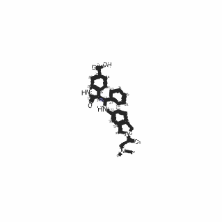 CN(C)CC(=O)N1Cc2ccc(N/C(=C3\C(=O)Nc4cc(C(=O)O)ccc43)c3ccccc3)cc2C1